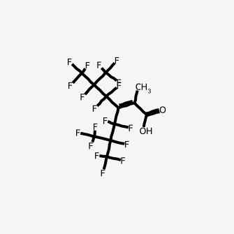 CC(C(=O)O)=C(C(F)(F)C(F)(C(F)(F)F)C(F)(F)F)C(F)(F)C(F)(C(F)(F)F)C(F)(F)F